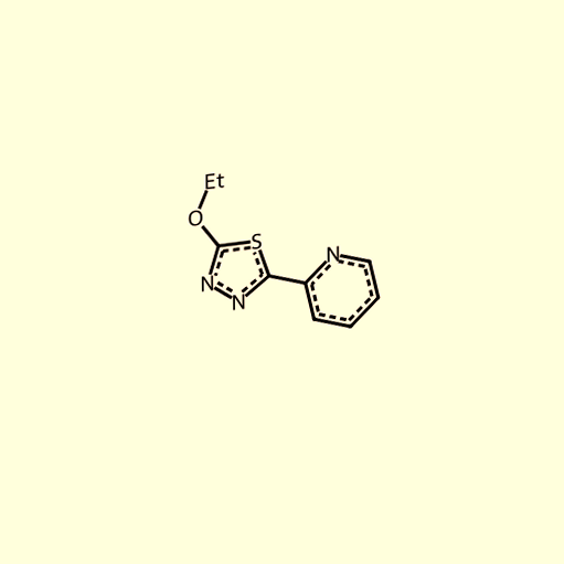 CCOc1nnc(-c2ccccn2)s1